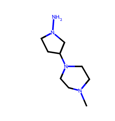 CN1CCN(C2CCN(N)C2)CC1